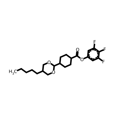 CCCCCC1COC(C2CCC(C(=O)Oc3cc(F)c(F)c(F)c3)CC2)OC1